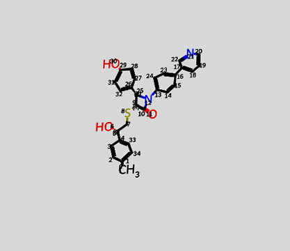 Cc1ccc([C@H](O)CS[C@H]2C(=O)N(c3ccc(-c4cccnc4)cc3)[C@@H]2c2ccc(O)cc2)cc1